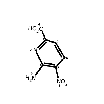 Nc1nc(C(=O)O)ccc1[N+](=O)[O-]